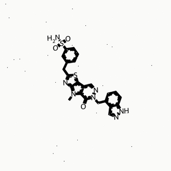 Cn1c2nc(Cc3cccc(S(N)(=O)=O)c3)sc2c2cnn(Cc3cccc4[nH]ncc34)c(=O)c21